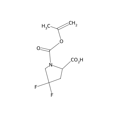 C=C(C)OC(=O)N1CC(F)(F)CC1C(=O)O